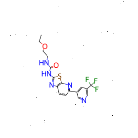 CCOCCNC(=O)Nc1nc2ccc(-c3cncc(C(F)(F)F)c3)nc2s1